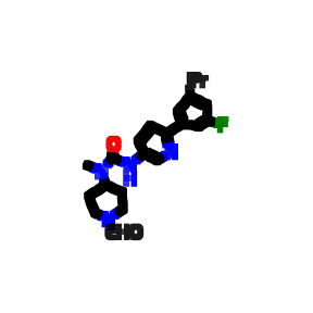 CC(C)c1cc(F)cc(-c2ccc(NC(=O)N(C)C3CCN(C=O)CC3)cn2)c1